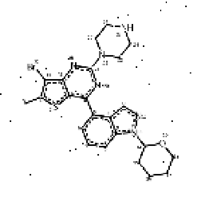 Cc1sc2c(-c3cccc4c3cnn4C3CCCCO3)nc(N3CCNCC3)nc2c1Br